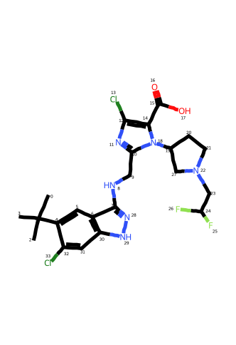 CC(C)(C)c1cc2c(NCc3nc(Cl)c(C(=O)O)n3C3CCN(CC(F)F)C3)n[nH]c2cc1Cl